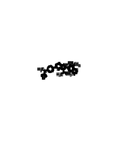 Cc1c(-c2[nH]c3ccc(C4CCC(N(C)C5COC5)CC4)nc3c2C(C)C)cn2ncnc2c1C